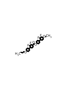 CCCCOc1ccc(-c2ccc(C(=O)Oc3ccc(-c4ccc(OCC)c(F)c4F)cc3)c(F)c2F)cc1